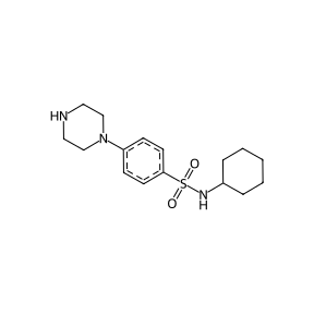 O=S(=O)(NC1CCCCC1)c1ccc(N2CCNCC2)cc1